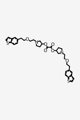 O=C(OC1CCN(CCOCCc2ccc3sccc3c2)C1)C(=O)OC1CCN(CCOCCc2ccc3sccc3c2)C1